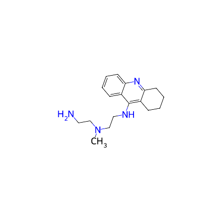 CN(CCN)CCNc1c2c(nc3ccccc13)CCCC2